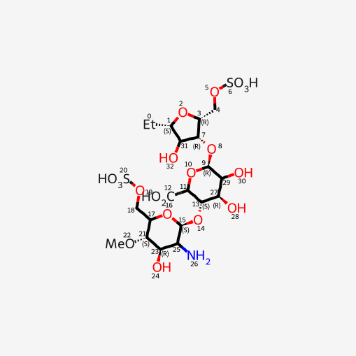 CC[C@@H]1O[C@H](COS(=O)(=O)O)[C@H](O[C@@H]2OC(C(=O)O)[C@@H](O[C@@H]3OC(COS(=O)(=O)O)[C@@H](OC)[C@H](O)C3N)[C@H](O)C2O)C1O